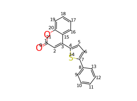 O=c1cc(-c2ccc(-c3ccccc3)s2)c2ccccc2o1